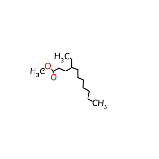 CCCCCCCC(CC)CCC(=O)OC